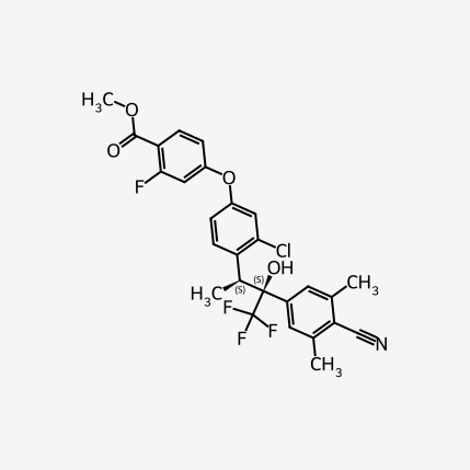 COC(=O)c1ccc(Oc2ccc([C@H](C)[C@](O)(c3cc(C)c(C#N)c(C)c3)C(F)(F)F)c(Cl)c2)cc1F